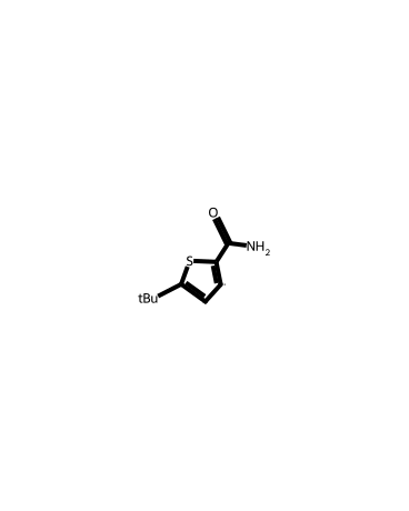 CC(C)(C)c1c[c]c(C(N)=O)s1